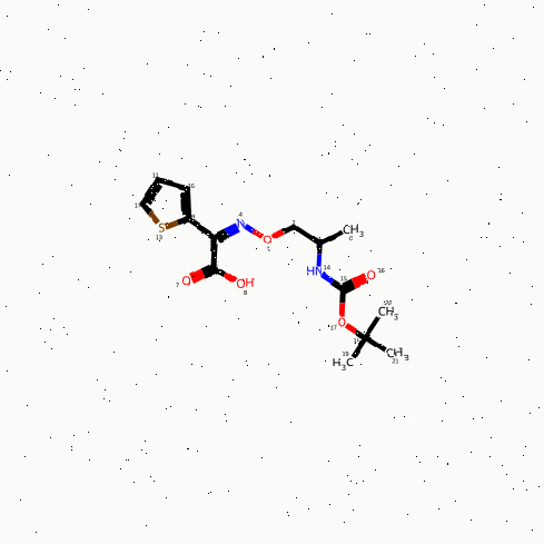 CC(CON=C(C(=O)O)c1cccs1)NC(=O)OC(C)(C)C